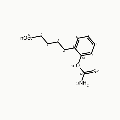 CCCCCCCCCCCCc1ccccc1OC(N)=S